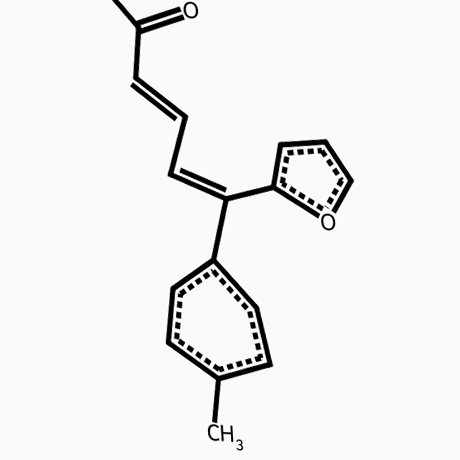 Cc1ccc(/C(=C/C=C/C(=O)O)c2ccco2)cc1